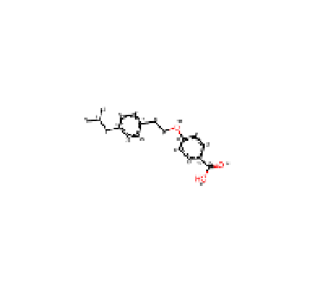 CC(C)Cc1ccc(CCOc2ccc(C(=O)O)cc2)cc1